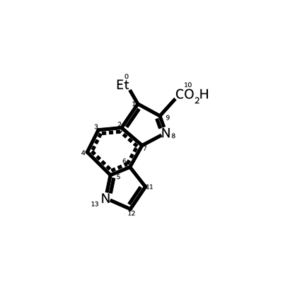 CCC1=c2ccc3c(c2N=C1C(=O)O)C=CN=3